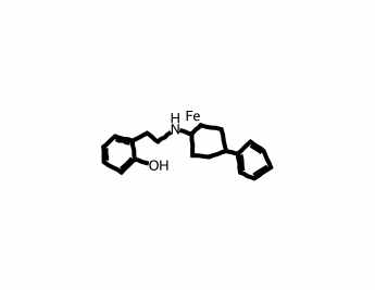 Oc1ccccc1CCNC1CCC(c2ccccc2)CC1.[Fe]